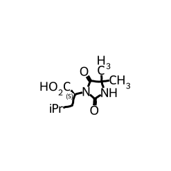 CC(C)C[C@@H](C(=O)O)N1C(=O)NC(C)(C)C1=O